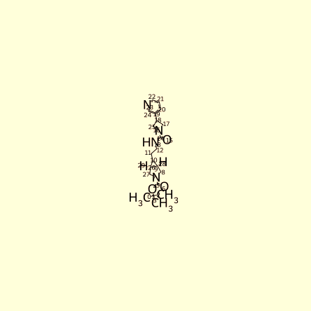 CC(C)(C)OC(=O)N1C[C@@H]2C(CCNC(=O)N3CC(c4cccnc4)C3)[C@@H]2C1